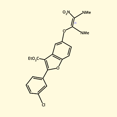 CCOC(=O)c1c(-c2cccc(Cl)c2)oc2ccc(O/C(NC)=C(/NC)[N+](=O)[O-])cc12